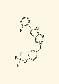 Fc1ccccc1-c1cc2cn(Cc3ccc(OC(F)(F)F)cc3)ccc-2n1